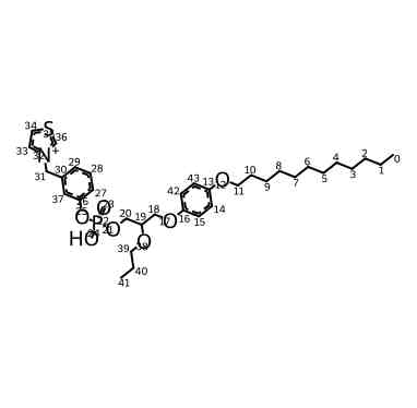 CCCCCCCCCCCCOc1ccc(OCC(COP(=O)(O)Oc2cccc(C[n+]3ccsc3)c2)OCCC)cc1